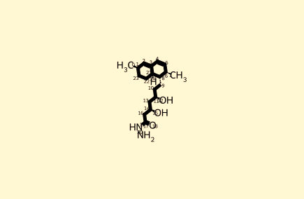 C[C@H]1C=C2C=C[C@H](C)[C@H](CC[C@@H](O)C[C@@H](O)CC(=O)NN)[C@H]2CC1